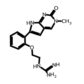 Cn1cc2cc(-c3ccccc3OCCNC(=N)N)[nH]c2nc1=O